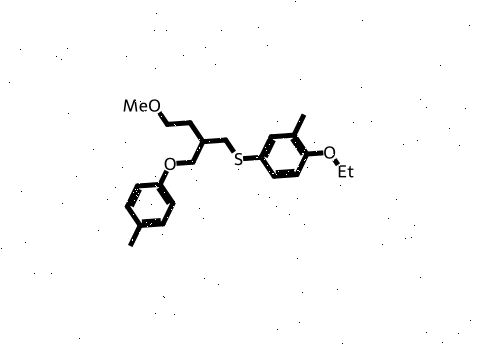 CCOc1ccc(SCC(CCOC)COc2ccc(C)cc2)cc1C